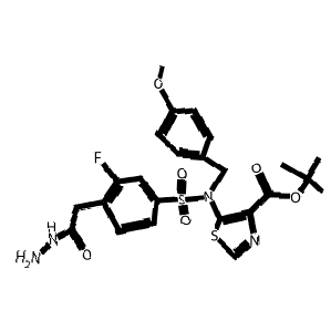 COc1ccc(CN(c2scnc2C(=O)OC(C)(C)C)S(=O)(=O)c2ccc(CC(=O)NN)c(F)c2)cc1